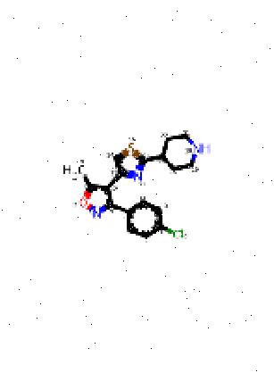 Cc1onc(-c2ccc(Cl)cc2)c1-c1csc(C2CCNCC2)n1